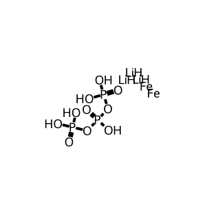 O=P(O)(O)OP(=O)(O)OP(=O)(O)O.[Fe].[Fe].[LiH].[LiH].[LiH]